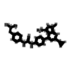 CCN(CC)Cc1ccc(NC(=O)Nc2ccc(-c3cc(C4CC4)nc4c3c(N)nn4C)cc2)cc1